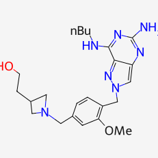 CCCCNc1nc(N)nc2cn(Cc3ccc(CN4CC(CCO)C4)cc3OC)nc12